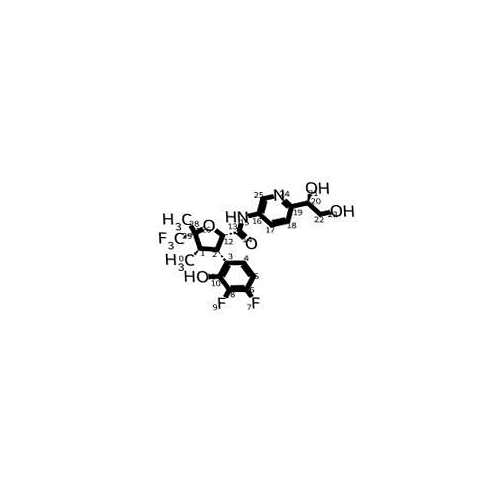 C[C@H]1[C@@H](c2ccc(F)c(F)c2O)[C@@H](C(=O)Nc2ccc([C@@H](O)CO)nc2)O[C@@]1(C)C(F)(F)F